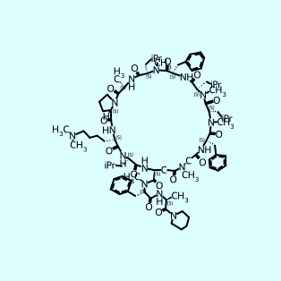 CC(C)C[C@@H]1NC(=O)[C@H](CCCCN(C)C)NC(=O)[C@@H]2CCCN2C(=O)[C@H](C)NC(=O)[C@H](CC(C)C)N(C)C(=O)[C@H](Cc2ccccc2)NC(=O)[C@H](CC(C)C)N(C)C(=O)[C@H](CC(C)C)N(C)C(=O)[C@H](Cc2ccccc2)NC(=O)CN(C)C(=O)C[C@@H](C(=O)N(C)[C@@H](Cc2ccccc2)C(=O)N[C@@H](C)C(=O)N2CCCCC2)NC1=O